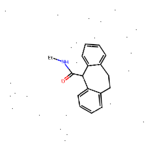 CCNC(=O)C1c2ccccc2CCc2ccccc21